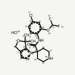 CC1(C)OCc2cnn(C3(C(=O)Nc4ccc(Cl)cc4OC(F)F)CCNCC3)c21.Cl